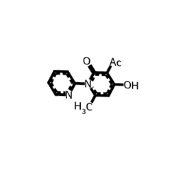 CC(=O)c1c(O)cc(C)n(-c2ccccn2)c1=O